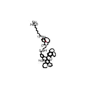 O=C(CCCCCCC(=O)Nc1ccc(C(=O)N(CCNC(=O)c2ccc(C(=O)O)c(C3=c4cc5c6c(c4Oc4c3cc3c7c4CCCN7CCCC3)CCC[N+]=6CCCC5)c2)CC2CCCCCCC2)cc1)NO